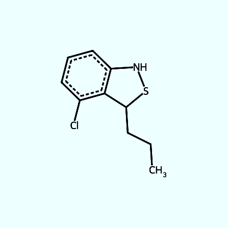 CCCC1SNc2cccc(Cl)c21